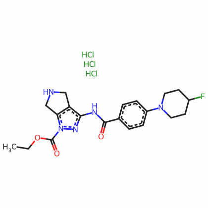 CCOC(=O)n1nc(NC(=O)c2ccc(N3CCC(F)CC3)cc2)c2c1CNC2.Cl.Cl.Cl